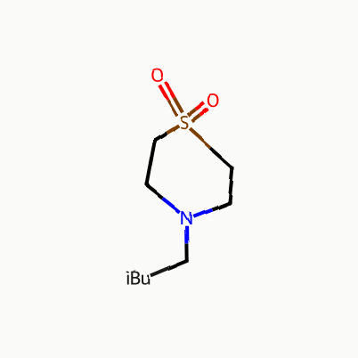 CCC(C)CN1CCS(=O)(=O)CC1